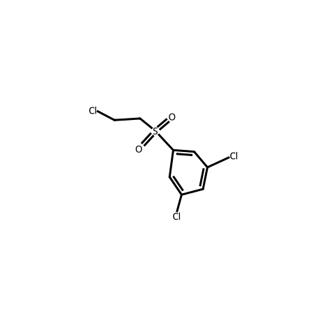 O=S(=O)(CCCl)c1cc(Cl)cc(Cl)c1